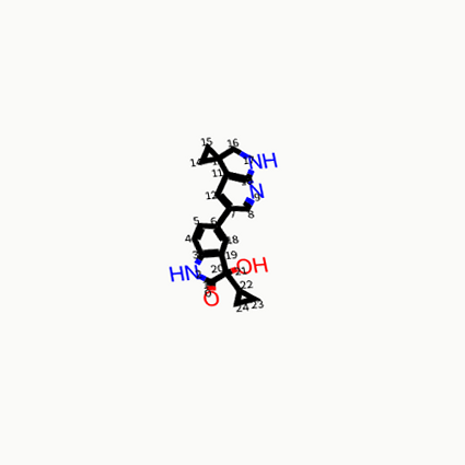 O=C1Nc2ccc(-c3cnc4c(c3)C3(CC3)CN4)cc2C1(O)C1CC1